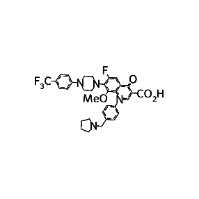 COc1c(N2CCN(c3ccc(C(F)(F)F)cc3)CC2)c(F)cc2c(=O)c(C(=O)O)cn(-c3ccc(CN4CCCC4)cc3)c12